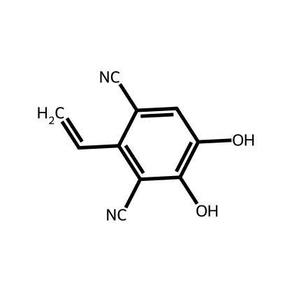 C=Cc1c(C#N)cc(O)c(O)c1C#N